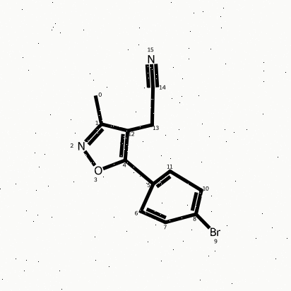 Cc1noc(-c2ccc(Br)cc2)c1CC#N